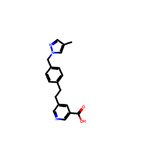 Cc1cnn(Cc2ccc(CCc3cncc(C(=O)O)c3)cc2)c1